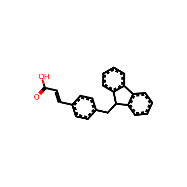 O=C(O)C=Cc1ccc(CC2c3ccccc3-c3ccccc32)cc1